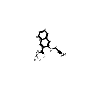 C#CCOc1cc2ccccc2cc1C(=O)OC